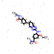 CCN(CC)C(=O)c1ccc(Nc2nc3ccc(-c4ccc(C(=O)NCC(F)(F)F)cc4)cn3n2)c(OCC(F)(F)F)c1